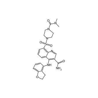 CN(C)C(=O)N1CCN(S(=O)(=O)c2cccc3c(Nc4cccc5c4CCO5)c(C(N)=O)cnc23)CC1